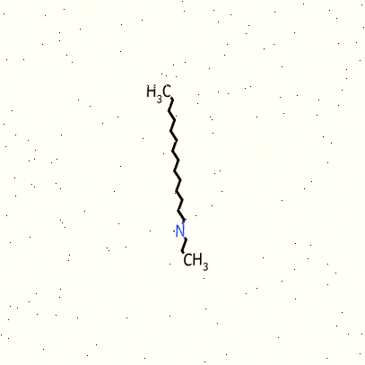 CCCCCCCCCCCCCC[N]CCC